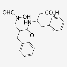 O=CN(O)CC(Cc1ccccc1)C(=O)NC(CC(=O)O)Cc1ccccc1